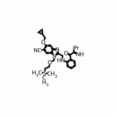 CC(C)C(=N)C(=O)c1ccccc1NCc1nc2cc(OCC3CC3)c(C#N)cc2n1COCCS(C)(C)C